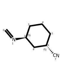 C=N[C@H]1CCC[C@H](C#N)C1